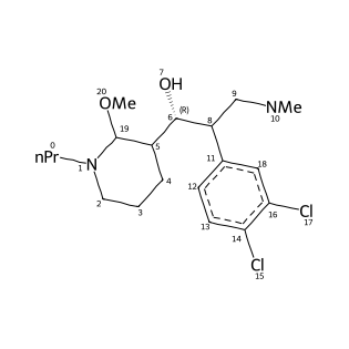 CCCN1CCCC([C@H](O)C(CNC)c2ccc(Cl)c(Cl)c2)C1OC